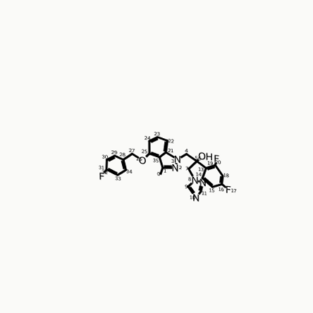 Cc1nn(CC(O)(Cn2cncn2)c2ccc(F)cc2F)c2cccc(OCc3ccc(F)cc3)c12